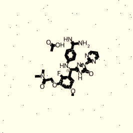 CC(=O)O.COc1cc(OCC(=O)N(C)C)c(F)c([C@H](Nc2ccc(C(=N)N)cc2)c2nn(-c3ncccn3)c(=O)[nH]2)c1